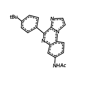 CC(=O)Nc1ccc2c(c1)nc(-c1ccc(C(C)(C)C)cc1)c1nccn12